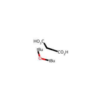 CC(C)(C)OC(C)(C)C.O=C(O)CC(=O)O